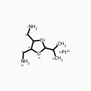 CC(C)C1OC(CN)C(CN)O1.[Pt+2]